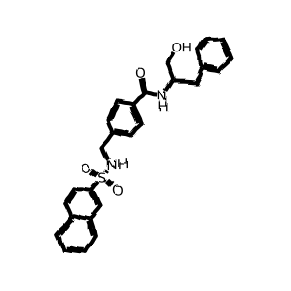 O=C(NC(CO)Cc1ccccc1)c1ccc(CNS(=O)(=O)c2ccc3ccccc3c2)cc1